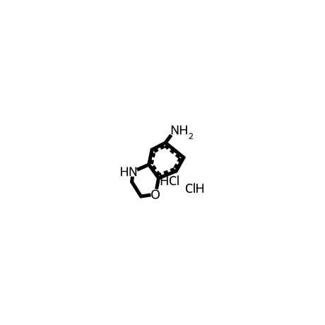 Cl.Cl.Nc1ccc2c(c1)NCCO2